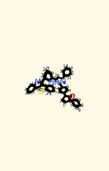 C1=CC(c2ccc(C3N=C(c4ccccc4)C=C(c4cccc(-c5nc6ccccc6c6sc7ccccc7c56)c4)N3)cc2)c2oc3ccccc3c21